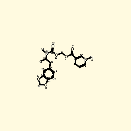 CCN1C=CCC(C(=O)OCOC(=O)N(C)C(C)Cc2ccc3c(c2)OCO3)=C1